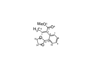 C/C=C(\C(=O)OC)c1ccccc1C1OCCO1